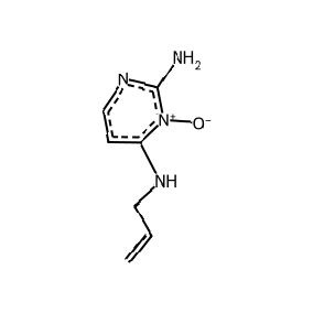 C=CCNc1ccnc(N)[n+]1[O-]